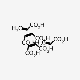 C=CC(=O)O.C=CC(=O)O.O=C(O)/C=C\C(=O)O.O=C(O)/C=C\C(=O)O